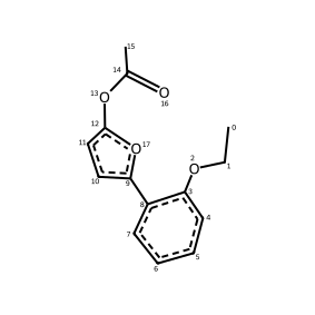 CCOc1ccccc1-c1ccc(OC(C)=O)o1